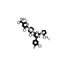 CC1CN(c2ncc(C(N)=O)cc2Cl)CCN1c1cc(-c2ccc(F)c(Cl)c2)nc(N2CCCC2C)n1